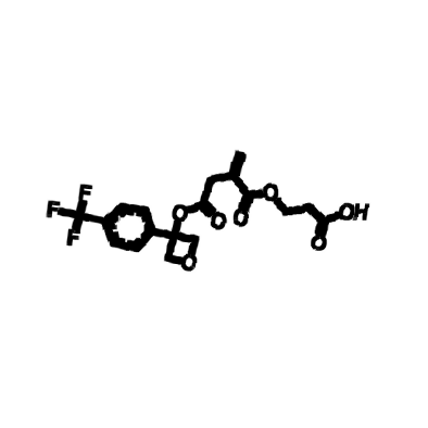 C=C(CC(=O)OC1(c2ccc(C(F)(F)F)cc2)COC1)C(=O)OCCC(=O)O